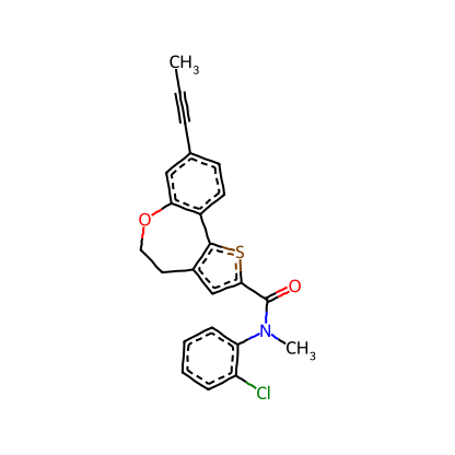 CC#Cc1ccc2c(c1)OCCc1cc(C(=O)N(C)c3ccccc3Cl)sc1-2